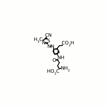 Cc1nc(/N=N/c2ccc(NC(=O)CCC(N)C(=O)O)cc2CCC(=O)O)sc1C#N